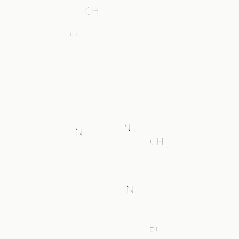 COc1ccc2c(c1)nc(-c1cccc(Br)n1)n2C